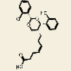 O=C(O)CC/C=C\CC[C@@H]1CO[C@H](c2ccccc2Cl)O[C@@H]1c1ccccc1O